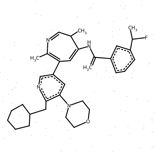 C=C(NC1=CC(c2cnc(CC3CCCCC3)c(N3CCOCC3)c2)=C(C)N=CC1C)c1cccc(C(C)F)c1